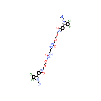 CN(C)CCN1Cc2c(Cl)cc(Cl)cc2C(c2ccc3c(c2)C(=O)N(CCOCCOCCNC(=O)NCCCCNC(=O)NCCOCCOCCN2Cc4ccc(C5CN(CCN(C)C)Cc6c(Cl)cc(Cl)cc65)cc4C2=O)C3)C1